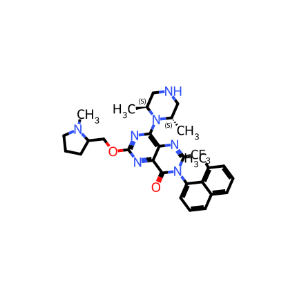 Cc1cccc2cccc(-n3c(C(F)(F)F)nc4c(N5[C@@H](C)CNC[C@@H]5C)nc(OCC5CCCN5C)nc4c3=O)c12